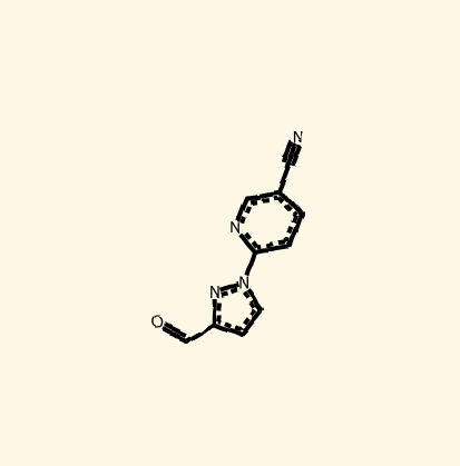 N#Cc1ccc(-n2ccc(C=O)n2)nc1